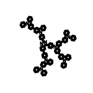 c1ccc(N(c2ccccc2)c2ccc3c(c2)c2ccccc2n3-c2ccc(-c3ccc4nc(-c5ccc(-n6c7ccccc7c7cc(-c8ccc9c(c8)c8ccccc8n9-c8ccccc8)ccc76)cc5)nc(-c5ccc(-n6c7ccc(-c8ccc9c(c8)c8ccccc8n9-c8ccccc8)cc7c7cc(-c8ccc9c(c8)c8ccccc8n9-c8ccccc8)ccc76)cc5)c4c3)cc2)cc1